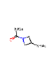 CNC(=O)N1CC(NC(C)=O)C1